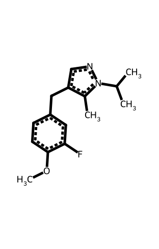 COc1ccc(Cc2cnn(C(C)C)c2C)cc1F